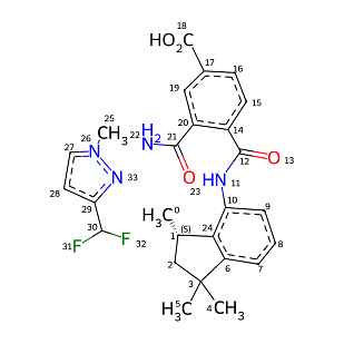 C[C@H]1CC(C)(C)c2cccc(NC(=O)c3ccc(C(=O)O)cc3C(N)=O)c21.Cn1ccc(C(F)F)n1